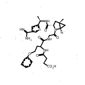 C[C@@H](NC(=O)[C@@H]1C[C@]2(C)C[C@@H]2N1C(=O)CNC(=O)C(CCOc1ccccc1)NC(=O)CCC(=O)O)c1cc(C(=N)N)cs1